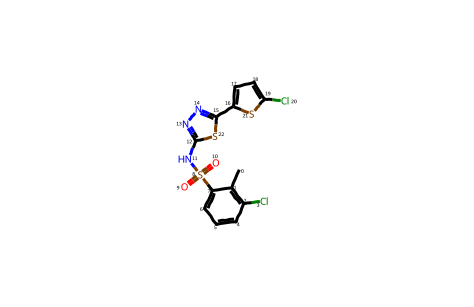 Cc1c(Cl)cccc1S(=O)(=O)Nc1nnc(-c2ccc(Cl)s2)s1